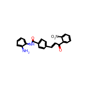 Nc1ccccc1NC(=O)c1ccc(/C=C/C(=O)c2ccccc2[N+](=O)[O-])cc1